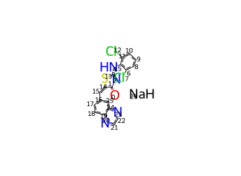 O=C1N=C(Nc2c(Cl)cccc2Cl)SC1=Cc1ccc2nccnc2c1.[NaH]